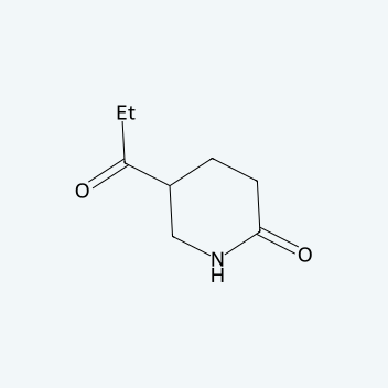 CCC(=O)C1CCC(=O)NC1